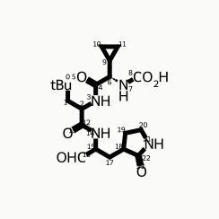 CC(C)(C)CC(NC(=O)[C@@H](NC(=O)O)C1CC1)C(=O)NC(C=O)CC1CCNC1=O